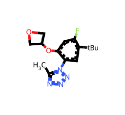 Cc1nnnn1-c1cc(C(C)(C)C)c(F)cc1OC1COC1